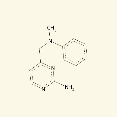 CN(Cc1ccnc(N)n1)c1ccccc1